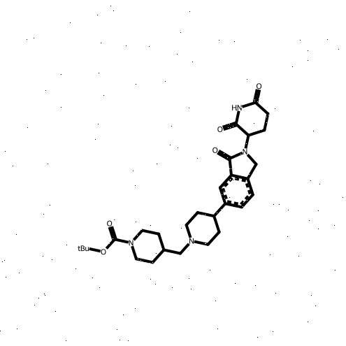 CC(C)(C)OC(=O)N1CCC(CN2CCC(c3ccc4c(c3)C(=O)N(C3CCC(=O)NC3=O)C4)CC2)CC1